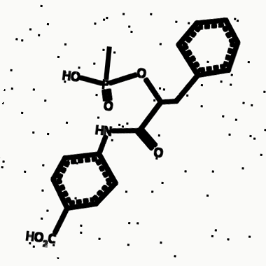 CP(=O)(O)OC(Cc1ccccc1)C(=O)Nc1ccc(C(=O)O)cc1